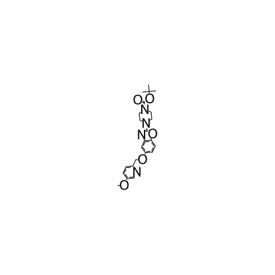 COc1ccc(COc2ccc3oc(N4CCN(C(=O)OC(C)(C)C)CC4)nc3c2)nc1